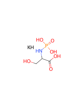 O=C(O)C(CO)NP(=O)(O)O.[KH]